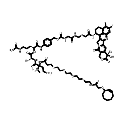 CC[C@@]1(O)C(=O)OCc2c1cc1n(c2=O)Cc2c-1nc1cc(F)c(C)c3c1c2[C@@H](NC(=O)COCNC(=O)CNC(=O)OCc1ccc(NC(=O)[C@H](CCCNC(N)=O)NC(=O)[C@@H](NC(=O)C(CCC(=O)O)(NC(=O)CCOCCOCCOCCOCCNC(=O)COC2C#CCCCCC2)[SiH2]C)C(C)C)cc1)CC3